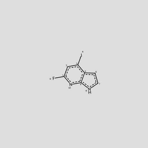 Fc1cc(I)c2cc[nH]c2n1